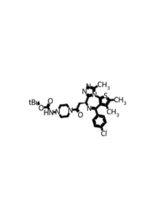 Cc1sc2c(c1C)C(c1ccc(Cl)cc1)=N[C@@H](CC(=O)N1CCN(NC(=O)OC(C)(C)C)CC1)c1nnc(C)n1-2